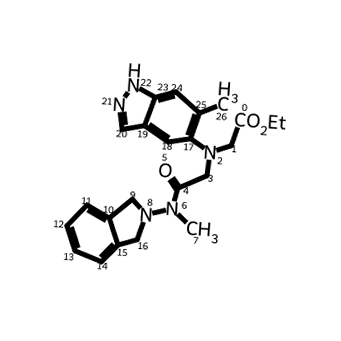 CCOC(=O)CN(CC(=O)N(C)N1Cc2ccccc2C1)c1cc2cn[nH]c2cc1C